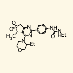 CCNC(=O)Nc1ccc(-c2nc3c(c(N4CCOC[C@@H]4CC)n2)[C@@H](C)S(=O)(=O)C3)cc1